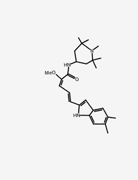 COC(=CC=Cc1cc2cc(C)c(C)cc2[nH]1)C(=O)NC1CC(C)(C)N(C)C(C)(C)C1